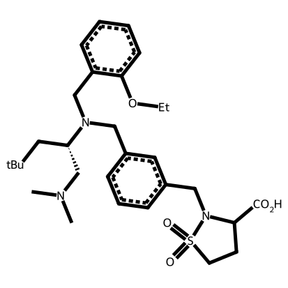 CCOc1ccccc1CN(Cc1cccc(CN2C(C(=O)O)CCS2(=O)=O)c1)[C@H](CN(C)C)CC(C)(C)C